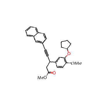 COC(=O)CC(C#Cc1ccc2ccccc2c1)c1ccc(OC)c(OC2CCCC2)c1